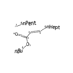 CCCCCCCC=CC(=O)OCCCC.[CH2]CCCCC